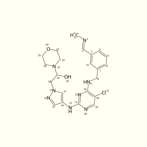 C/N=C/c1cccc(CNc2nc(Nc3cnn(CC(O)N4CCOCC4)c3)ncc2Cl)c1